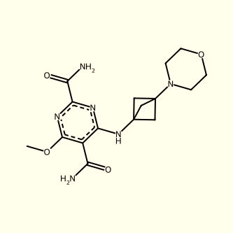 COc1nc(C(N)=O)nc(NC23CC(N4CCOCC4)(C2)C3)c1C(N)=O